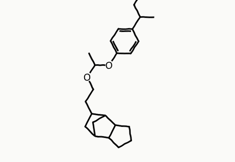 CCC(C)c1ccc(OC(C)OCCC2CC3CC2C2CCCC32)cc1